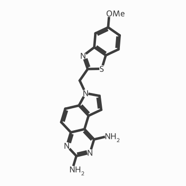 COc1ccc2sc(Cn3ccc4c5c(N)nc(N)nc5ccc43)nc2c1